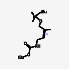 C/C(=C/CNC(=O)OC(C)(C)C)CO[Si](C)(C)C(C)(C)C